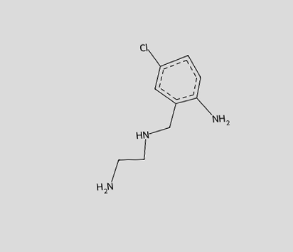 NCCNCc1cc(Cl)ccc1N